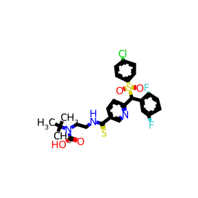 CC(C)(C)N(CCNC(=S)c1ccc(C(c2cc(F)ccc2F)S(=O)(=O)c2ccc(Cl)cc2)nc1)C(=O)O